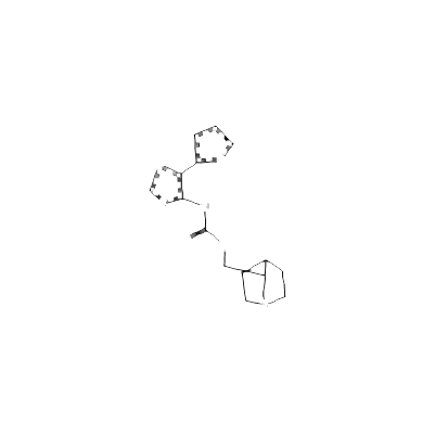 O=C(Nc1ncsc1-c1cccs1)OCC1CN2CCC1CC2